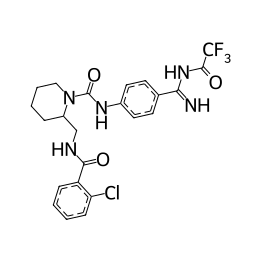 N=C(NC(=O)C(F)(F)F)c1ccc(NC(=O)N2CCCCC2CNC(=O)c2ccccc2Cl)cc1